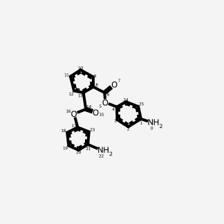 Nc1ccc(OC(=O)c2ccccc2C(=O)Oc2cccc(N)c2)cc1